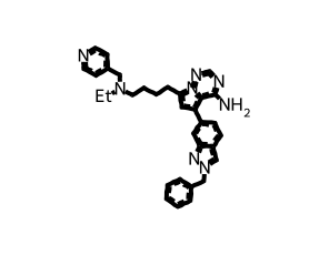 CCN(CCCCc1cc(-c2ccc3cn(Cc4ccccc4)nc3c2)c2c(N)ncnn12)Cc1ccncc1